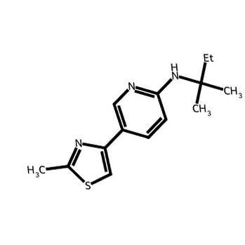 CCC(C)(C)Nc1ccc(-c2csc(C)n2)cn1